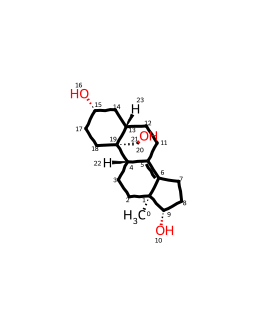 C[C@]12CC[C@H]3C(=C1CC[C@@H]2O)CC[C@H]1C[C@@H](O)CC[C@@]13CO